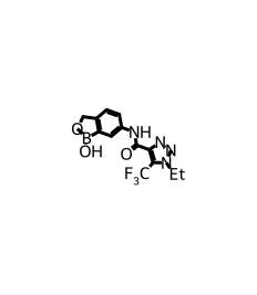 CCn1nnc(C(=O)Nc2ccc3c(c2)B(O)OC3)c1C(F)(F)F